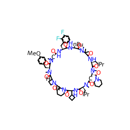 CCCC[C@@H]1NC(=O)[C@H](Cc2cccc(F)c2F)NC(=O)CN(C)C(=O)[C@H](Cc2ccc(OC)cc2)N(C)C(=O)[C@@H]2CCN2C(=O)[C@@H]2CCCCN2C(=O)C(C2CCC2)NC(=O)[C@H](CC(C)C)N(C)C(=O)C[C@@H](C(=O)N2CCCCC2)N(C)C(=O)[C@H](CC(C)C)NC(=O)C(C)(C)N(C)C1=O